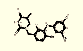 CC1CN(Cc2ccc(Br)c(Oc3cc(Cl)cc(C#N)c3)c2F)C(=O)NC1=O